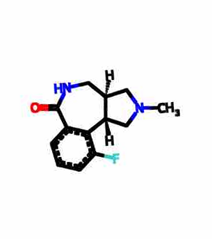 CN1C[C@@H]2CNC(=O)c3cccc(F)c3[C@H]2C1